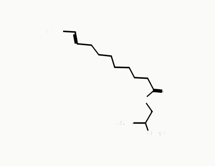 CCCCCCCCC=CCCCCCCCC(=O)OCC(CCCCCCC)CCCCCCCCC